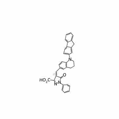 O=C(O)C1=NN(c2ccccc2)C(=O)/C1=C\c1ccc2c(c1)CCCN2c1ccc2c(c1)Cc1ccccc1-2